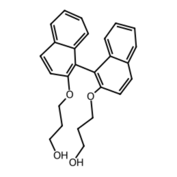 OCCCOc1ccc2ccccc2c1-c1c(OCCCO)ccc2ccccc12